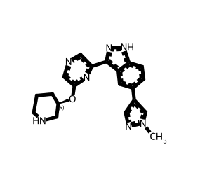 Cn1cc(-c2ccc3[nH]nc(-c4cncc(O[C@@H]5CCCNC5)n4)c3c2)cn1